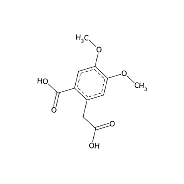 COc1cc(CC(=O)O)c(C(=O)O)cc1OC